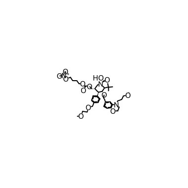 COCCCN1CCOc2ccc(CO[C@H]3C(C(C)(C)C)N(C(=O)O)C[C@@H](COC(=O)OCCCCO[N+](=O)[O-])[C@@H]3c3ccc(COCCOC)cc3)cc21